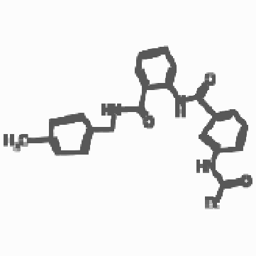 CCC(=O)Nc1cccc(C(=O)Nc2ccccc2C(=O)NCc2ccc(C)cc2)c1